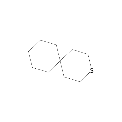 C1CCC2(CC1)CCSCC2